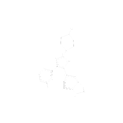 Cc1cccc(-c2nn(C3CCC(N)CC3)cc2-c2ccc3c(c2)OCO3)n1